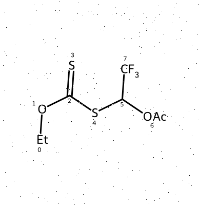 CCOC(=S)SC(OC(C)=O)C(F)(F)F